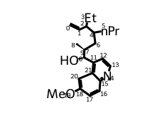 C=CC(CC)C(CCC)C[C@H](C)[C@H](O)c1ccnc2ccc(OC)cc12